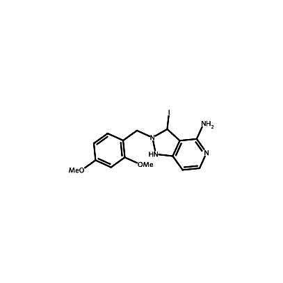 COc1ccc(CN2Nc3ccnc(N)c3C2I)c(OC)c1